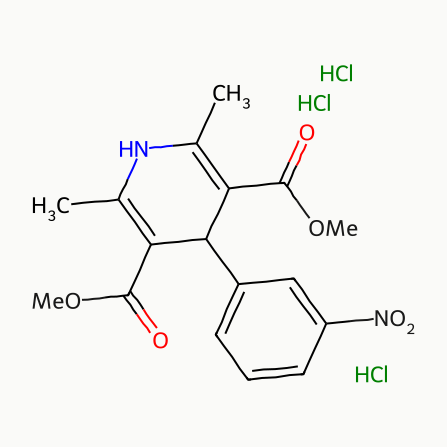 COC(=O)C1=C(C)NC(C)=C(C(=O)OC)C1c1cccc([N+](=O)[O-])c1.Cl.Cl.Cl